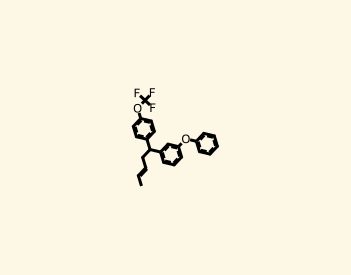 CC=CCC(c1ccc(OC(F)(F)F)cc1)c1cccc(Oc2ccccc2)c1